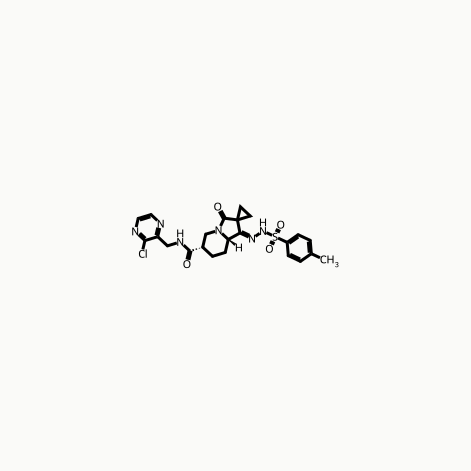 Cc1ccc(S(=O)(=O)NN=C2[C@@H]3CC[C@H](C(=O)NCc4nccnc4Cl)CN3C(=O)C23CC3)cc1